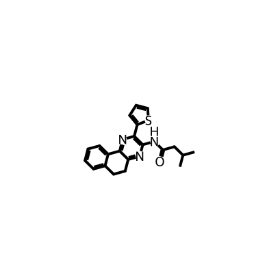 CC(C)CC(=O)Nc1nc2c(nc1-c1cccs1)-c1ccccc1CC2